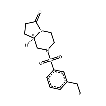 O=C1CC[C@@H]2CN(S(=O)(=O)c3cccc(CF)c3)CCN12